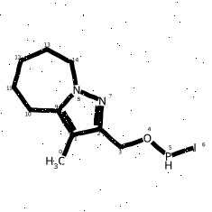 Cc1c(COPI)nn2c1CCCCC2